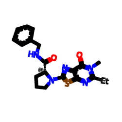 CCc1nc2sc(N3CCC[C@@H]3C(=O)NCc3ccccc3)nc2c(=O)n1C